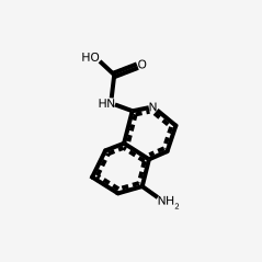 Nc1cccc2c(NC(=O)O)nccc12